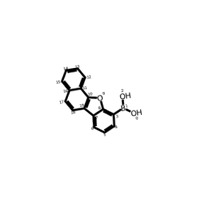 OB(O)c1cccc2c1oc1c3ccccc3ccc21